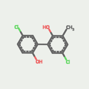 Cc1cc(Cl)cc(-c2cc(Cl)ccc2O)c1O